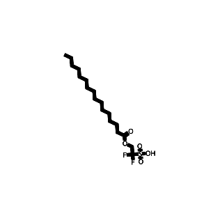 CCCCCCCCCCCCCCCC(=O)OCC(F)(F)S(=O)(=O)O